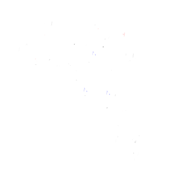 COc1cc2c(=O)n(C(C(=O)O)C(C)C)c3c(cnc4c3ccn4COCC[Si](C)(C)C)c2cc1OC